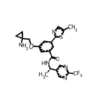 Cc1cnc(-c2cc(OCC3(N)CC3)cc(C(=O)N[C@H](C)c3cnc(C(F)(F)F)nc3)c2)s1